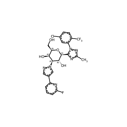 Cc1nc([C@@H]2O[C@H](CO)[C@H](O)[C@H](n3cc(-c4cccc(F)n4)cn3)[C@H]2O)n(-c2cc(Cl)ccc2C(F)(F)F)n1